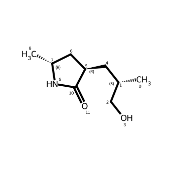 C[C@H](CO)C[C@@H]1C[C@@H](C)NC1=O